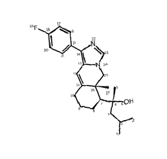 CC(C)C[C@@](C)(O)[C@H]1CCCC2=Cc3c(-c4ccc(F)cc4)ncn3C[C@@]21C